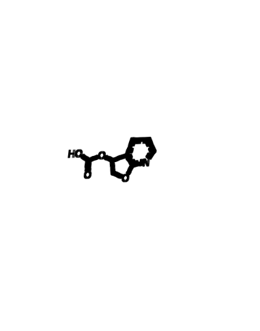 O=C(O)OC1COc2ncccc21